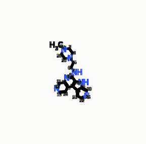 CN1CCN(CCNc2nc3cnccc3c3c2[nH]c2cnccc23)CC1